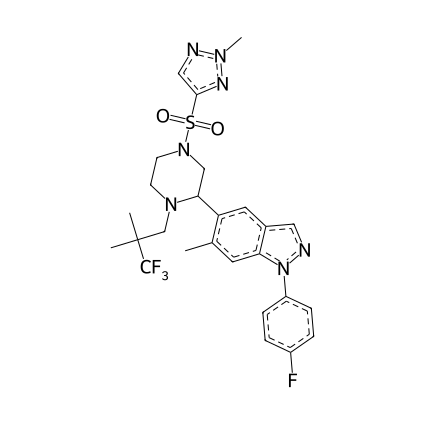 Cc1cc2c(cnn2-c2ccc(F)cc2)cc1C1CN(S(=O)(=O)c2cnn(C)n2)CCN1CC(C)(C)C(F)(F)F